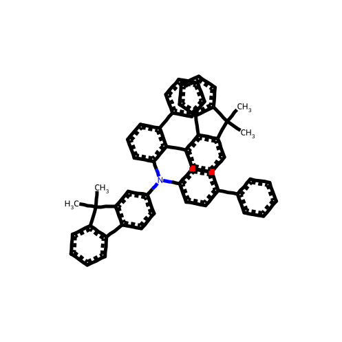 CC1(C)c2ccccc2-c2ccc(N(c3ccc(-c4ccccc4)cc3)c3cccc(-c4ccccc4)c3-c3cccc4c3-c3ccccc3C4(C)C)cc21